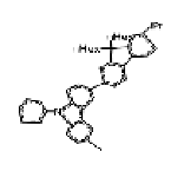 CCCCCCC1(CCCCCC)c2cc(-c3ccc4c(c3)c3cc(C)ccc3n4-c3ccccc3)ccc2-c2ccc(C(C)C)cc21